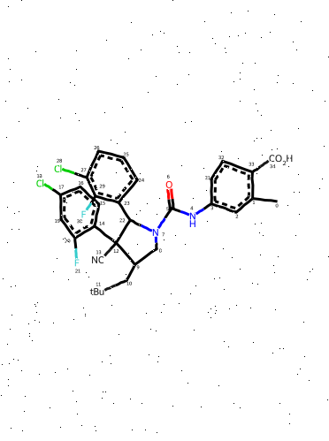 Cc1cc(NC(=O)N2CC(CC(C)(C)C)C(C#N)(c3ccc(Cl)cc3F)C2c2cccc(Cl)c2F)ccc1C(=O)O